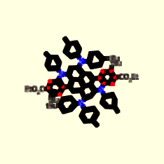 CCOC(=O)c1ccc(-c2cc3c(N(c4ccc(C)cc4)c4ccc(C(C)(C)C)cc4)cc(N(c4ccc(C)cc4)c4ccc(C(C)(C)C)cc4)c4c(-c5ccc(C(=O)OCC)cc5)cc5c(N(c6ccc(C)cc6)c6ccc(C(C)(C)C)cc6)cc(N(c6ccc(C)cc6)c6ccc(C(C)(C)C)cc6)c2c5c34)cc1